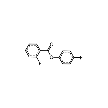 O=C(Oc1ccc(F)cc1)c1ccccc1F